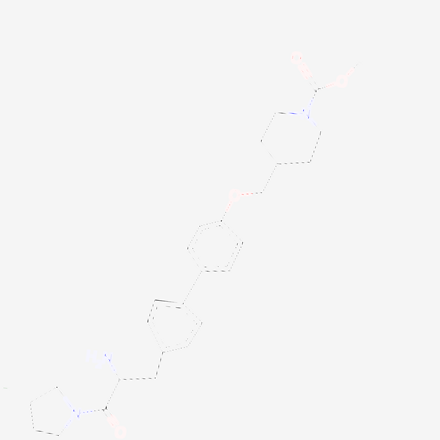 CC(C)OC(=O)N1CCC(COc2ccc(-c3ccc(CC(N)C(=O)N4CC[C@H](F)C4)cc3)cc2)CC1